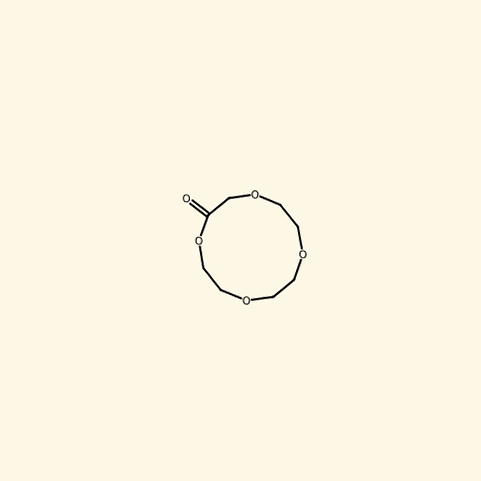 O=C1COCCOCCOCCO1